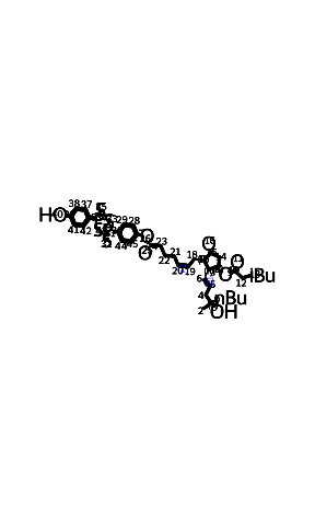 CCCC[C@](C)(O)C/C=C/[C@H]1[C@H](OC(=O)CC(C)CC)CC(=O)[C@@H]1C/C=C\CCCC(=O)Oc1ccc(P2(=S)SP(=S)(c3ccc(O)cc3)S2)cc1